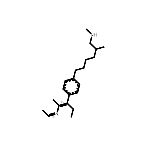 C/C=N\C(C)=C(/CC)c1ccc(CCCCC(C)CNC)cc1